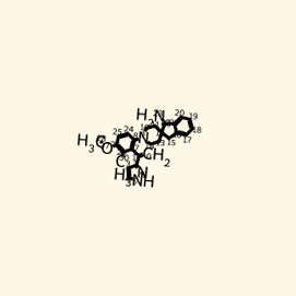 C=C(c1cc[nH]n1)c1c(N2CCC3(CC2)Cc2ccccc2[C@H]3N)ccc(OC)c1C